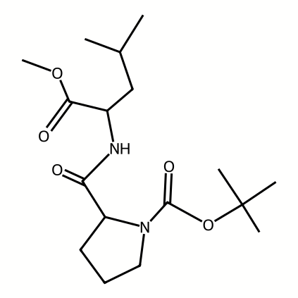 COC(=O)C(CC(C)C)NC(=O)C1CCCN1C(=O)OC(C)(C)C